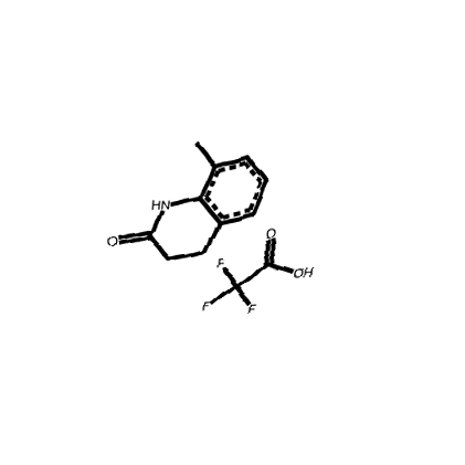 Cc1cccc2c1NC(=O)CC2.O=C(O)C(F)(F)F